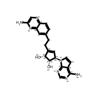 Nc1cnc2ccc(CCC3=C[C@@H](n4ccc5c(N)ncnc54)[C@H](O)[C@@H]3O)cc2n1